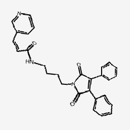 O=C(/C=C\c1cccnc1)NCCCCN1C(=O)C(c2ccccc2)=C(c2ccccc2)C1=O